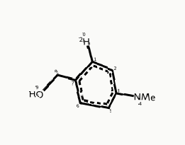 [2H]c1cc(NC)ccc1CO